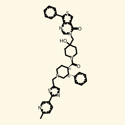 Cc1ccc(-c2ncc(CN3CC[C@@H](C(=O)N4CCC(O)(Cn5cnc6c(-c7ccccc7)scc6c5=O)CC4)[C@H](c4ccccc4)C3)s2)cn1